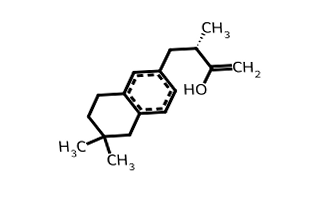 C=C(O)[C@@H](C)Cc1ccc2c(c1)CCC(C)(C)C2